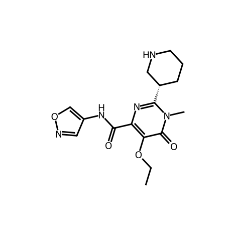 CCOc1c(C(=O)Nc2cnoc2)nc([C@H]2CCCNC2)n(C)c1=O